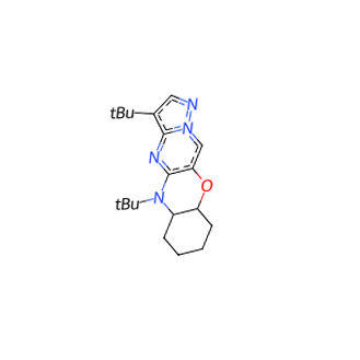 CC(C)(C)c1cnn2cc3c(nc12)N(C(C)(C)C)C1CCCCC1O3